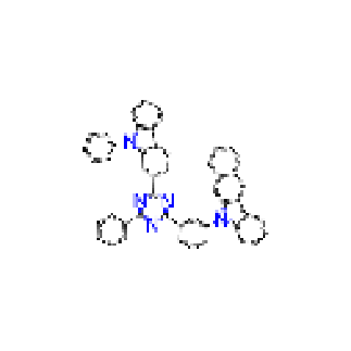 c1ccc(-c2nc(-c3cccc(-n4c5ccccc5c5cc6ccccc6cc54)c3)nc(-c3ccc4c5ccccc5n(-c5ccccc5)c4c3)n2)cc1